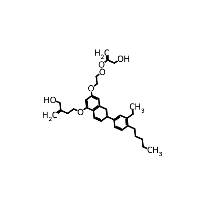 C=C(CO)CCOc1cc(OCCOOC(=C)CO)cc2c1C=CC(c1ccc(CCCCC)c(CC)c1)C2